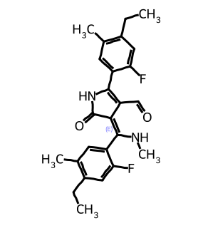 CCc1cc(F)c(C2=C(C=O)/C(=C(\NC)c3cc(C)c(CC)cc3F)C(=O)N2)cc1C